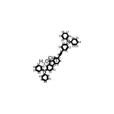 CC1(C)C2=C(CCC(C#Cc3ccc(N(C4=CCCC=C4)C4C=CC=CC4)cc3)=C2)c2ccc(N(c3ccccc3)c3ccccc3)cc21